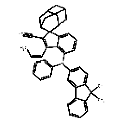 C#CC1=C(/C=C\C)c2c(N(c3ccccc3)c3ccc4c(c3)-c3ccccc3C4(C)C)cccc2C12C1CC3CC(C1)CC2C3